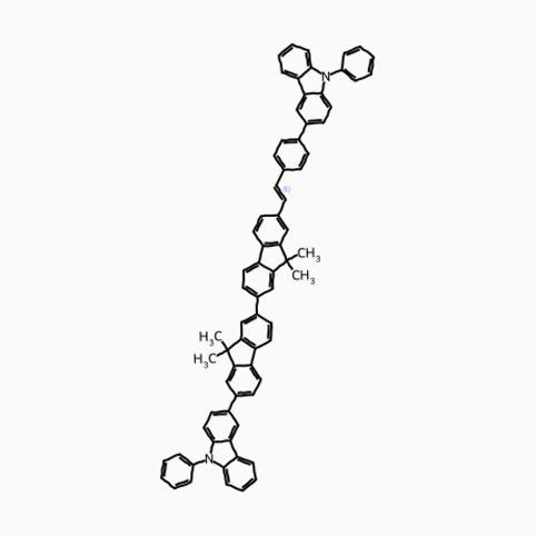 CC1(C)c2cc(/C=C/c3ccc(-c4ccc5c(c4)c4ccccc4n5-c4ccccc4)cc3)ccc2-c2ccc(-c3ccc4c(c3)C(C)(C)c3cc(-c5ccc6c(c5)c5ccccc5n6-c5ccccc5)ccc3-4)cc21